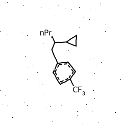 CCCC(Cc1ccc(C(F)(F)F)cc1)C1CC1